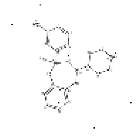 N#Cc1cccc([N+]2([O-])Cc3ccccc3CN(C3CCNCC3)C2)c1